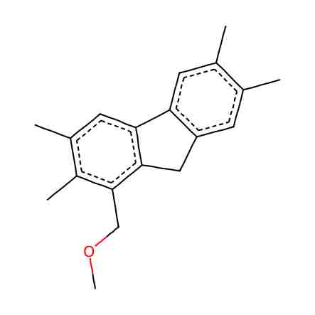 COCc1c(C)c(C)cc2c1Cc1cc(C)c(C)cc1-2